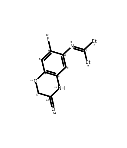 CCC(CC)=Nc1cc2c(cc1F)OCC(=O)N2